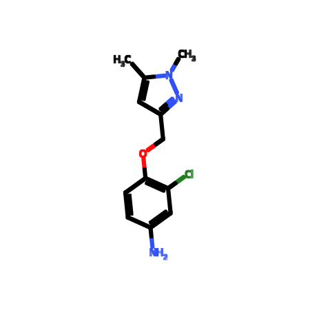 Cc1cc(COc2ccc(N)cc2Cl)nn1C